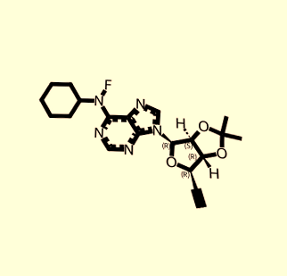 C#C[C@H]1O[C@@H](n2cnc3c(N(F)C4CCCCC4)ncnc32)[C@H]2OC(C)(C)O[C@@H]21